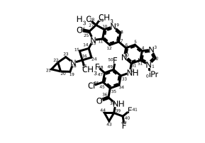 CC(C)n1cnc2cc(-c3cnc4c(c3)N(C3CC(C)(N5CC6CC6C5)C3)C(=O)C4(C)C)nc(Nc3cc(C(=O)NC4(C(F)F)CC4)c(Cl)c(F)c3F)c21